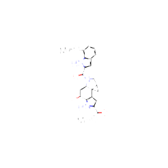 COC(=O)c1cc2c([nH]1)C(=O)C=C1N(C(=O)c3cc4cccc(OC)c4[nH]3)CC3CC123